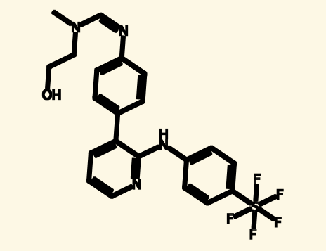 CN(/C=N\c1ccc(-c2cccnc2Nc2ccc(S(F)(F)(F)(F)F)cc2)cc1)CCO